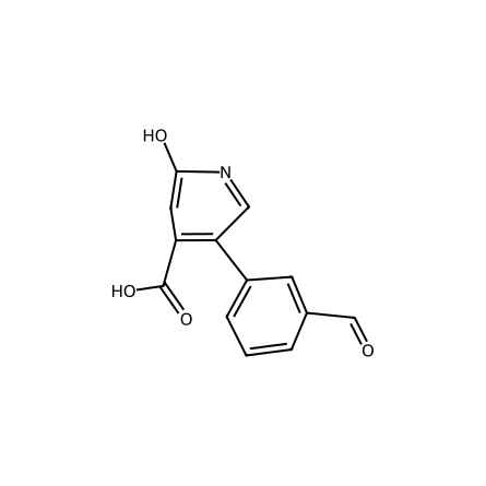 O=Cc1cccc(-c2cnc(O)cc2C(=O)O)c1